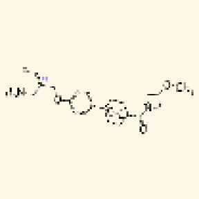 COC1CN(C(=O)C23CCC(c4ccc(OC/C(=C/F)CN)cc4)(CC2)CC3)C1